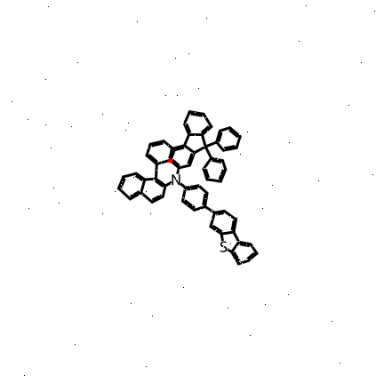 c1ccc(-c2c(N(c3ccc(-c4ccc5c(c4)sc4ccccc45)cc3)c3ccc4c(c3)C(c3ccccc3)(c3ccccc3)c3ccccc3-4)ccc3ccccc23)cc1